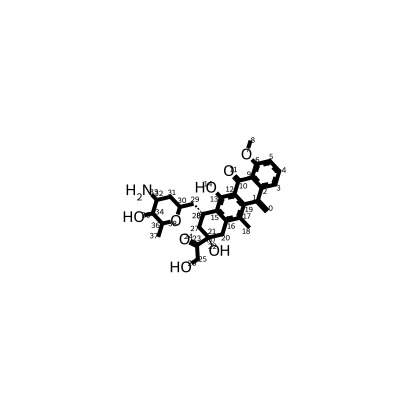 C=C1c2cccc(OC)c2C(=O)c2c(O)c3c(c(C)c21)C[C@@](O)(C(=O)CO)C[C@@H]3CC1CC(N)C(O)C(C)O1